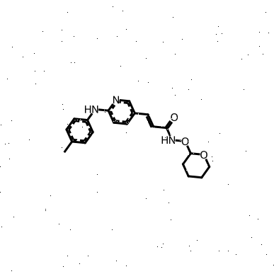 Cc1ccc(Nc2ccc(C=CC(=O)NOC3CCCCO3)cn2)cc1